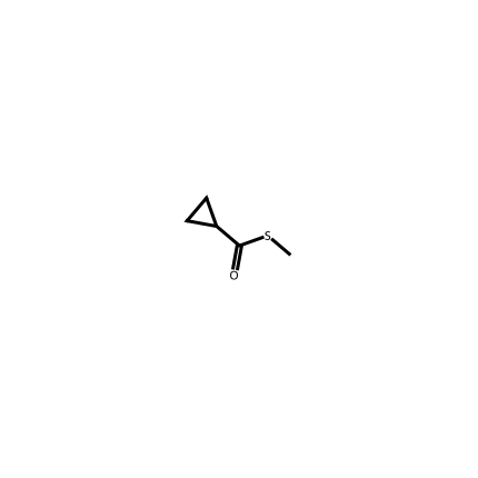 CSC(=O)C1CC1